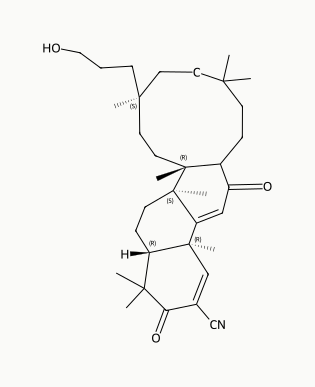 CC1(C)CCC2C(=O)C=C3[C@@]4(C)C=C(C#N)C(=O)C(C)(C)[C@@H]4CC[C@@]3(C)[C@]2(C)CC[C@@](C)(CCCO)CC1